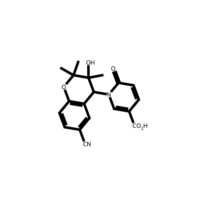 CC1(C)Oc2ccc(C#N)cc2C(n2cc(C(=O)O)ccc2=O)C1(C)O